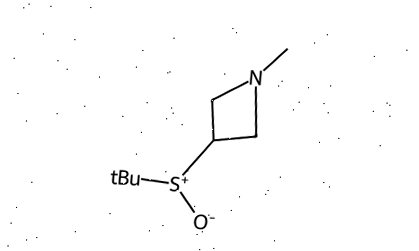 CN1CC([S+]([O-])C(C)(C)C)C1